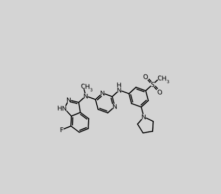 CN(c1ccnc(Nc2cc(N3CCCC3)cc(S(C)(=O)=O)c2)n1)c1n[nH]c2c(F)cccc12